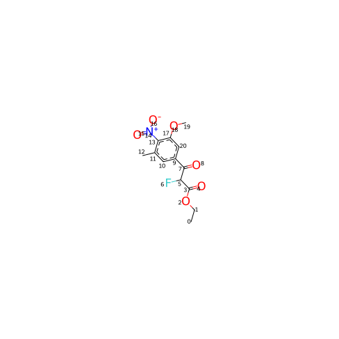 CCOC(=O)C(F)C(=O)c1cc(C)c([N+](=O)[O-])c(OC)c1